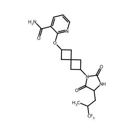 CC(CC1NC(=O)N(C2CC3(CC(Oc4ncccc4C(N)=O)C3)C2)C1=O)C(F)(F)F